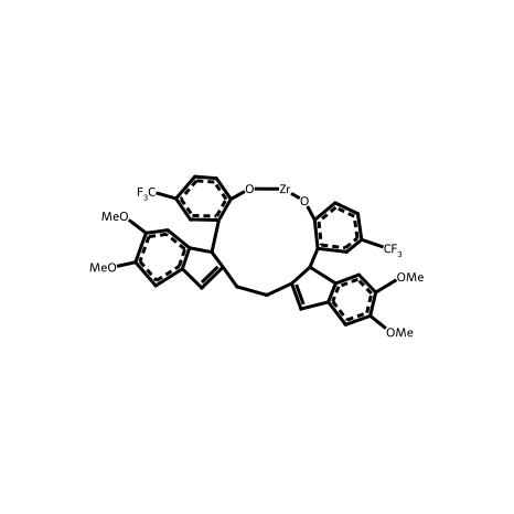 COc1cc2c(cc1OC)C1C(=C2)CCC2=Cc3cc(OC)c(OC)cc3C2c2cc(C(F)(F)F)ccc2[O][Zr][O]c2ccc(C(F)(F)F)cc21